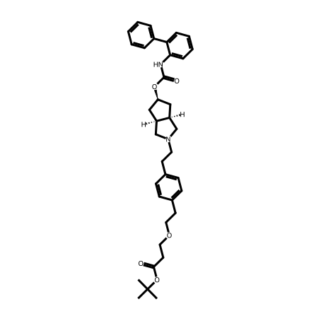 CC(C)(C)OC(=O)CCOCCc1ccc(CCN2C[C@H]3C[C@@H](OC(=O)Nc4ccccc4-c4ccccc4)C[C@H]3C2)cc1